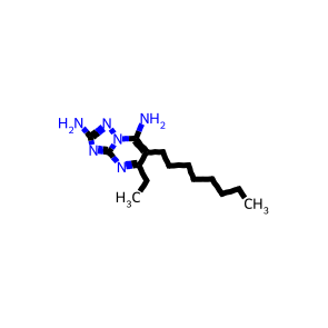 CCCCCCCCc1c(CC)nc2nc(N)nn2c1N